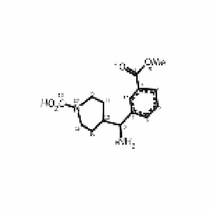 COC(=O)c1cccc(C(N)C2CCN(C(=O)O)CC2)c1